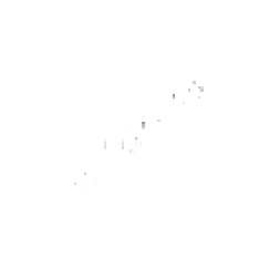 COc1cc(-c2ccc3c(c2)Nc2ccc(CCOc4ccc(N5CCOCC5)cc4)cc2NC3=O)ccc1-c1ccc(NC(C)=O)cc1